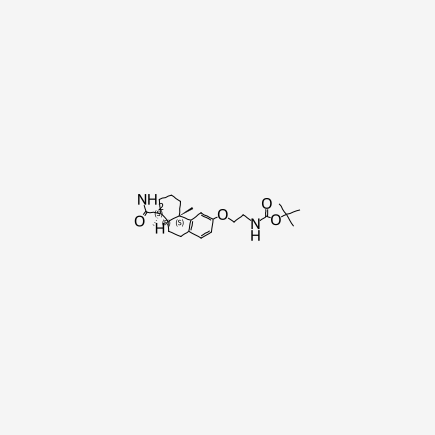 CC(C)(C)OC(=O)NCCOc1ccc2c(c1)[C@@]1(C)CCC[C@](C)(C(N)=O)[C@@H]1CC2